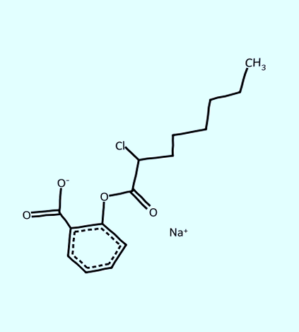 CCCCCCC(Cl)C(=O)Oc1ccccc1C(=O)[O-].[Na+]